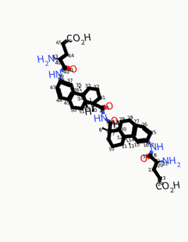 C[C@]1(C(=O)NC(=O)[C@@]2(C)CCC[C@]3(C)c4cc(NC(=O)[C@@H](N)CCC(=O)O)ccc4CC[C@@H]23)CCC[C@]2(C)c3cc(NC(=O)[C@@H](N)CCC(=O)O)ccc3CC[C@@H]12